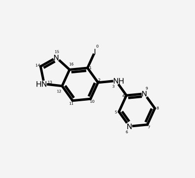 Ic1c(Nc2cnccn2)ccc2[nH]cnc12